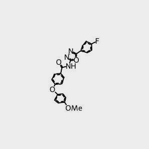 COc1ccc(Oc2ccc(C(=O)Nc3nnc(-c4ccc(F)cc4)o3)cc2)cc1